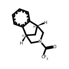 O=C(N1C[C@H]2C[C@@H](C1)c1ccccc12)C(F)(F)F